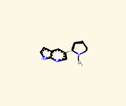 CN1CCC[C@H]1c1cnc2[nH]ccc2c1